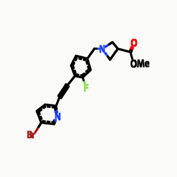 COC(=O)C1CN(Cc2ccc(C#Cc3ccc(Br)cn3)c(F)c2)C1